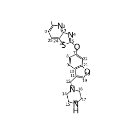 c1cnc2nc(Oc3ccc4c(CN5CCNCC5)coc4c3)sc2c1